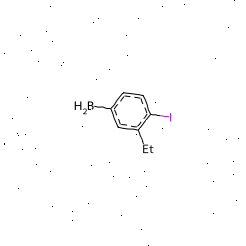 Bc1ccc(I)c(CC)c1